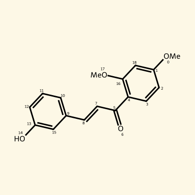 COc1ccc(C(=O)C=Cc2cccc(O)c2)c(OC)c1